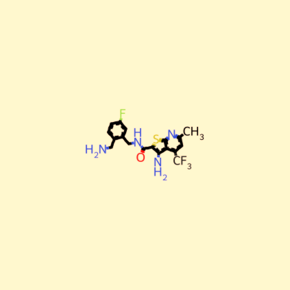 Cc1cc(C(F)(F)F)c2c(N)c(C(=O)NCc3cc(F)ccc3CN)sc2n1